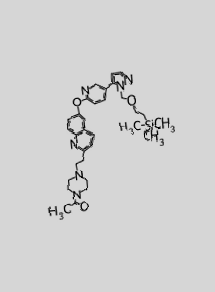 CC(=O)N1CCN(CCc2ccc3cc(Oc4ccc(-c5ccnn5COCC[Si](C)(C)C)cn4)ccc3n2)CC1